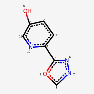 Oc1ccc(-c2nnco2)nc1